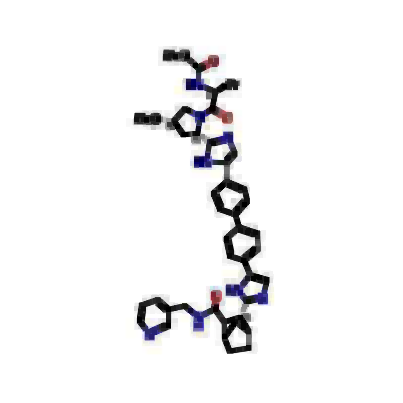 COC(=O)N[C@H](C(=O)N1C[C@@H](OC)C[C@H]1c1ncc(-c2ccc(-c3ccc(-c4cnc([C@@H]5C6CCC(C6)C5C(=O)NCc5cccnc5)[nH]4)cc3)cc2)[nH]1)C(C)C